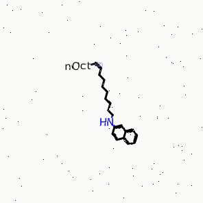 CCCCCCCC/C=C\CCCCCCCCNc1ccc2ccccc2c1